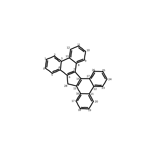 c1ccc2c(c1)c1c(c3ccccc32)-c2c(c3ccccc3c3ccccc23)C1